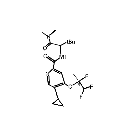 CN(C)C(=O)C(NC(=O)c1cc(O[C@@](C)(F)C(F)F)c(C2CC2)cn1)C(C)(C)C